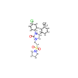 O=C1N(CCS(=O)(=O)N2CCCC2)C[C@H](c2cccc(C(F)(F)F)c2)N1c1ccc(Cl)cc1